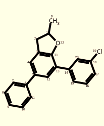 CC1Cc2cc(-c3ccccc3)cc(-c3cccc(Cl)c3)c2O1